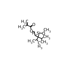 C=C(C)C(=O)OCCC([SiH2]OC)(C(C)C)C(C)C